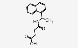 C[C@@H](NC(=O)CCC(=O)O)c1cccc2ccccc12